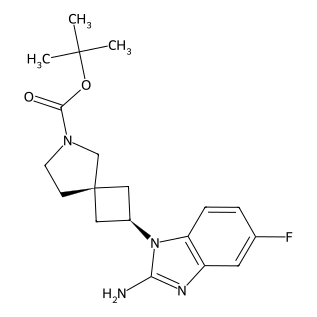 CC(C)(C)OC(=O)N1CC[C@]2(C1)C[C@H](n1c(N)nc3cc(F)ccc31)C2